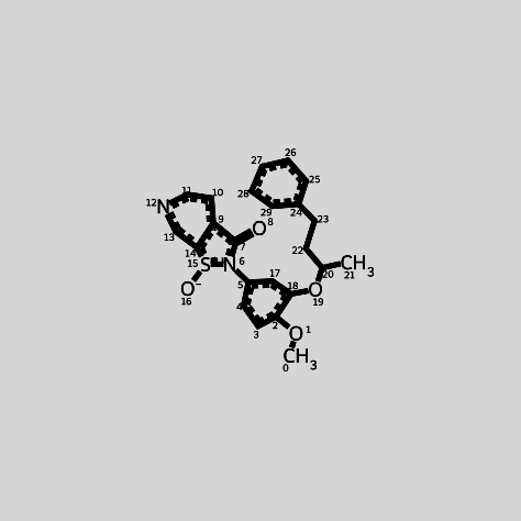 COc1ccc(-n2c(=O)c3ccncc3[s+]2[O-])cc1OC(C)CCc1ccccc1